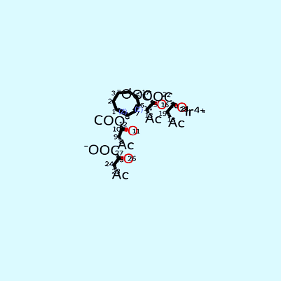 C1=C\CCCC\C=C/1.CC(=O)CC(=O)C(=O)[O-].CC(=O)CC(=O)C(=O)[O-].CC(=O)CC(=O)C(=O)[O-].CC(=O)CC(=O)C(=O)[O-].[Ir+4]